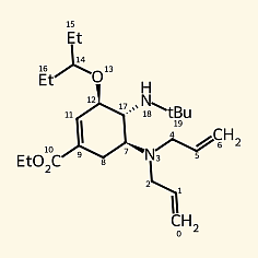 C=CCN(CC=C)[C@H]1CC(C(=O)OCC)=C[C@@H](OC(CC)CC)[C@@H]1NC(C)(C)C